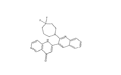 O=c1cc(-c2cc3ccccc3nc2N2CCCC(F)(F)CC2)[nH]c2ccncc12